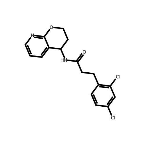 O=C(CCc1ccc(Cl)cc1Cl)NC1CCOc2ncccc21